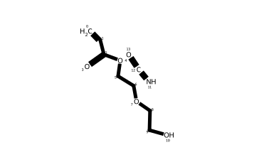 C=CC(=O)OCCOCCO.N=C=O